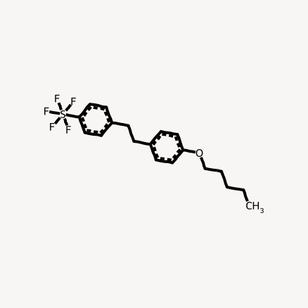 CCCCCOc1ccc(CCc2ccc(S(F)(F)(F)(F)F)cc2)cc1